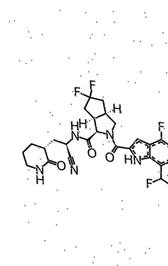 N#C[C@@H](C[C@H]1CCCNC1=O)NC(=O)[C@H]1[C@H]2CC(F)(F)C[C@H]2CN1C(=O)c1cc2c(F)ccc(C(F)F)c2[nH]1